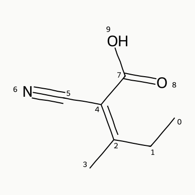 CCC(C)=C(C#N)C(=O)O